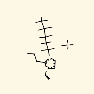 C=Cn1cc[n+](C(F)(F)C(F)(F)C(F)(F)C(F)(F)C(F)(F)C(F)(F)F)c1CCCCCCCCCCCC.F[B-](F)(F)F